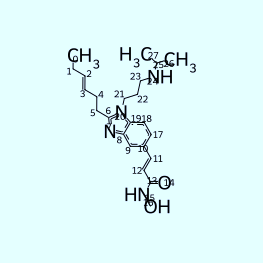 CCC=CCCc1nc2cc(C=CC(=O)NO)ccc2n1CCCNC(C)C